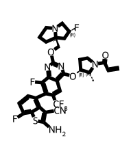 C=CC(=O)N1CC[C@@H](Oc2nc(OC[C@@]34CCCN3C[C@H](F)C4)nc3c(F)c(-c4ccc(F)c5sc(N)c(C#N)c45)c(C(F)(F)F)cc23)[C@H]1C